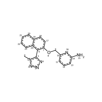 Cn1nnnc1-c1c(OCc2cccc(N)n2)ccc2ccccc12